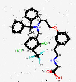 C[C@H](CCOc1cccc(CCNCC(=O)O)c1)N(Cc1cccc(C(F)(F)F)c1Cl)C(C)(c1ccccc1)c1ccccc1.Cl